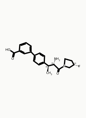 C[C@@H](c1ccc(-c2cccc(C(=O)O)c2)cc1)[C@H](N)C(=O)N1CC[C@H](F)C1